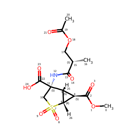 COC(=O)[C@@H]1[C@@H]2[C@H]1S(=O)(=O)C[C@@]2(NC(=O)[C@@H](C)COC(C)=O)C(=O)O